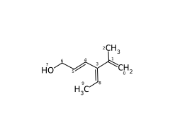 C=C(C)C(C=CCO)=CC